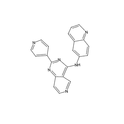 c1cnc2ccc(Nc3nc(-c4ccncc4)nc4ccncc34)cc2c1